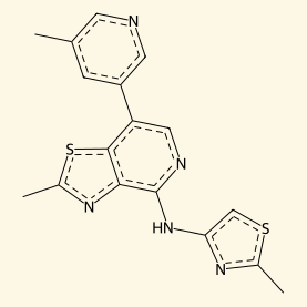 Cc1cncc(-c2cnc(Nc3csc(C)n3)c3nc(C)sc23)c1